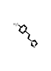 Cc1ccc(C=Cn2ccnc2)cc1